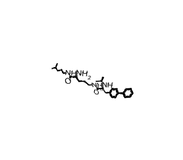 CC(C)CCCNC(=O)[C@@H](N)CCCNC(=O)[C@H](Cc1ccc(-c2ccccc2)cc1)NC(C)C